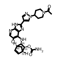 CC(=O)N1CCC(n2cc(-c3nc4c(N[C@H]5[C@@H](OC(N)=O)[C@@H]6C=C[C@H]5C6)c(Cl)cnc4[nH]3)cn2)CC1